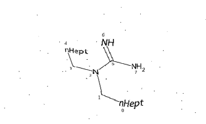 CCCCCCCCN(CCCCCCCC)C(=N)N